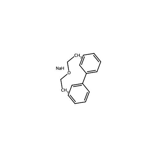 CCOCC.[NaH].c1ccc(-c2ccccc2)cc1